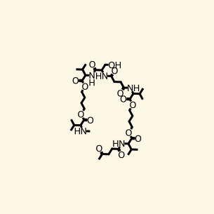 CNC(C(=O)OCCCCOC(=O)C(NC(=O)C(CO)NC(=O)CCC(=O)NC(C(=O)OCCCCOC(=O)C(NC(=O)CCC(C)=O)C(C)C)C(C)C)C(C)C)C(C)C